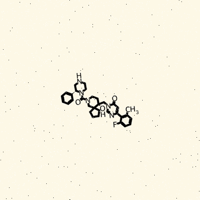 Cc1cccc(F)c1-c1cc(=O)n(C[C@]2(O)CCN(C(=O)N3CCNC[C@H]3c3ccccc3)CC23CCCC3)cn1